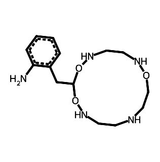 Nc1ccccc1CC1ONCCNCCONCCNO1